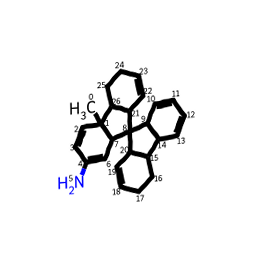 CC12C=CC(N)=CC1C1(C3C=CC=CC3C3CCC=CC31)C1C=CCCC12